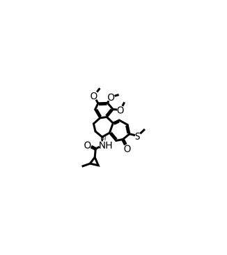 COc1cc2c(c(OC)c1OC)-c1ccc(SC)c(=O)cc1[C@@H](NC(=O)C1CC1C)CC2